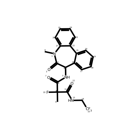 CN1C(=O)C(NC(=O)C(C)(F)C(=O)NCC(F)(F)F)c2ccccc2-c2ccccc21